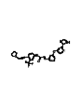 O=C(C=Cc1cccc(Oc2ccnc(C3=NCCN3)c2)c1)Nc1ccc(C#CCN2CCCC2)c(C(F)(F)F)c1